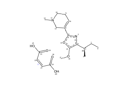 CC[C@@H](C)c1nc(C2=CCCN(C)C2)oc1OC.O=C(O)/C=C\C(=O)O